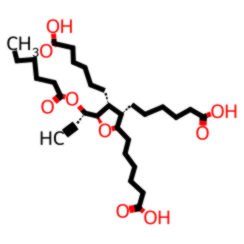 C#C[C@H](OC(=O)CCCCC)[C@@H]1OC(CCCCCC(=O)O)[C@@H](CCCCCC(=O)O)[C@H]1CCCCCC(=O)O